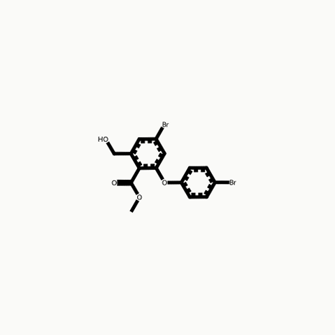 COC(=O)c1c(CO)cc(Br)cc1Oc1ccc(Br)cc1